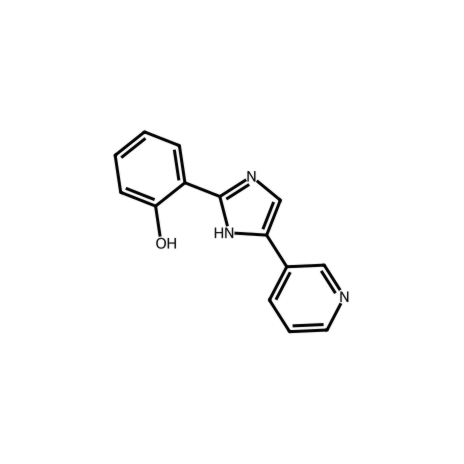 Oc1ccccc1-c1ncc(-c2cccnc2)[nH]1